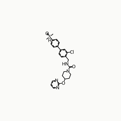 C[SH](C)(=O)c1ccc(-c2ccc(CNC(=O)N3CCC(Oc4ncccn4)CC3)c(Cl)c2)cc1